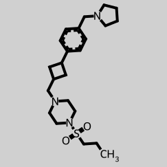 CCCS(=O)(=O)N1CCN(CC2CC(c3ccc(CN4CCCC4)cc3)C2)CC1